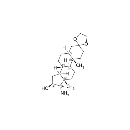 C[C@]12CCC3(C[C@@H]1CC[C@@H]1[C@@H]2CC[C@]2(C)[C@H](N)[C@@H](O)C[C@@H]12)OCCO3